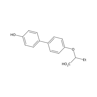 CCC(Oc1ccc(-c2ccc(O)cc2)cc1)C(=O)O